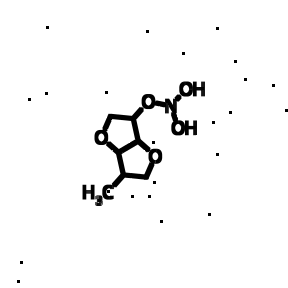 CC1COC2C(ON(O)O)COC12